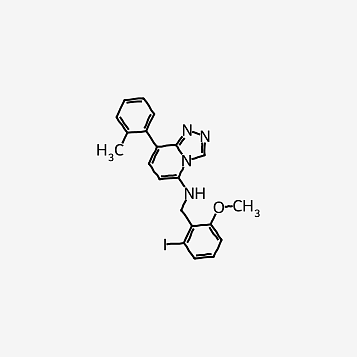 COc1cccc(I)c1CNc1ccc(-c2ccccc2C)c2nncn12